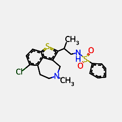 CC(CNS(=O)(=O)c1ccccc1)c1sc2ccc(Cl)c3c2c1CN(C)CC3